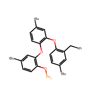 CC(C)Cc1cc(C(C)(C)C)ccc1Oc1cc(C(C)(C)C)ccc1Oc1cc(C(C)(C)C)ccc1OP